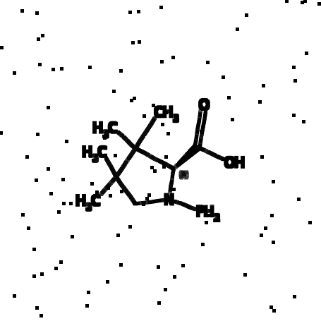 CC1(C)CN(P)[C@H](C(=O)O)C1(C)C